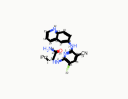 CC(C)C[C@@H](Nc1nc(Nc2ccc3ncccc3c2)c(C#N)cc1F)C(N)=O